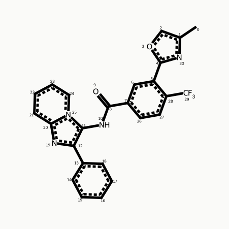 Cc1coc(-c2cc(C(=O)Nc3c(-c4ccccc4)nc4ccccn34)ccc2C(F)(F)F)n1